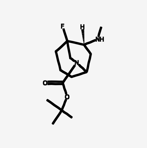 CN[C@H]1CC2CCCC1(F)CN2C(=O)OC(C)(C)C